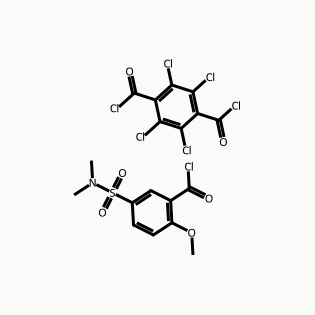 COc1ccc(S(=O)(=O)N(C)C)cc1C(=O)Cl.O=C(Cl)c1c(Cl)c(Cl)c(C(=O)Cl)c(Cl)c1Cl